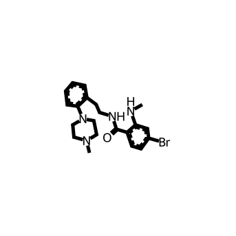 CNc1cc(Br)ccc1C(=O)NCCc1ccccc1N1CCN(C)CC1